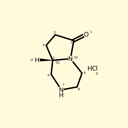 Cl.O=C1CC[C@H]2CNCCN12